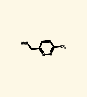 CNCc1ccc(C(F)(F)F)nn1